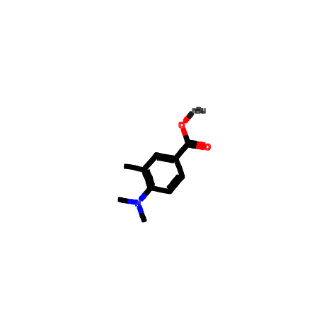 CCCCOC(=O)c1ccc(N(C)C)c(C)c1